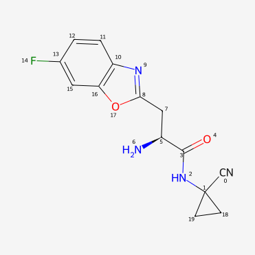 N#CC1(NC(=O)[C@@H](N)Cc2nc3ccc(F)cc3o2)CC1